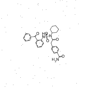 NC(=O)c1ccc(CC(=O)N(C2CCCCC2)S(=O)(=O)Nc2ccccc2C(=O)c2ccccc2)cc1